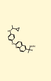 CC(=O)NC(C)(I)c1ccc2nc(Oc3ccc(NC(C)C4CC4)cc3)ccc2c1